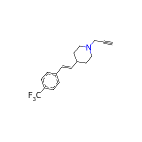 C#CCN1CCC(/C=C/c2ccc(C(F)(F)F)cc2)CC1